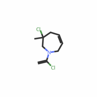 C=C(Cl)N1CC=CCC(C)(Cl)C1